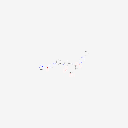 C/C(=C\c1cc(F)cc(N2CCN(C(=O)Cn3cccn3)CC2)c1)[C@H]1OC(=O)C[C@H](O)CC[C@H](C)[C@@H](OC(=O)N2CCN(C3CCCCC3)CC2)/C=C/[C@@H]1C